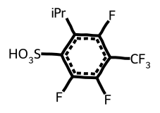 CC(C)c1c(F)c(C(F)(F)F)c(F)c(F)c1S(=O)(=O)O